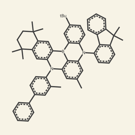 Cc1cc2c3c(c1)N(c1cccc4c1-c1ccccc1C4(C)C)c1ccc(C(C)(C)C)cc1B3c1cc3c(cc1N2c1ccc(-c2ccccc2)cc1C)C(C)(C)CCC3(C)C